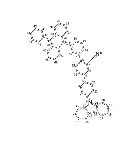 N#Cc1cc(-c2ccc(-n3c4ccccc4c4ccccc43)cc2)ccc1-c1cccc(-c2c3ccccc3c(-c3ccccc3)c3ccccc23)c1